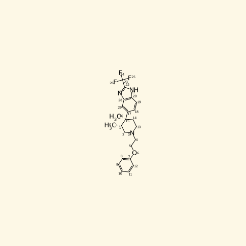 C[C@H]1CN(CCOc2ccccc2)CC[C@]1(C)c1ccc2[nH]c(C(F)(F)F)nc2c1